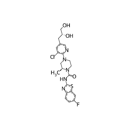 C[C@H]1CN(c2ncc(C[C@@H](O)CO)cc2Cl)CCN1C(=O)Nc1nc2ccc(F)cc2s1